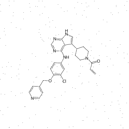 C=CC(=O)N1CCC(c2c[nH]c3ncnc(Nc4ccc(OCc5ccncc5)c(Cl)c4)c23)CC1